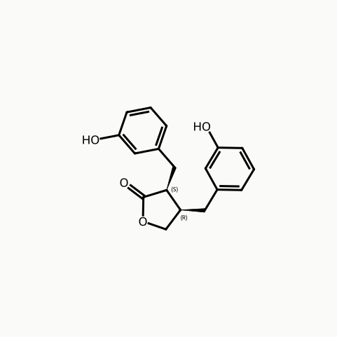 O=C1OC[C@H](Cc2cccc(O)c2)[C@@H]1Cc1cccc(O)c1